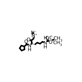 CC(C)(C)OC(=O)NCCCC[C@H](NC(=O)C1CCCC1)C(=O)C=[N+]=[N-]